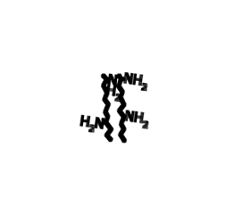 CCCC(N)CCCCCCC(C)N.CCCCC(N)CCCCCC(C)N